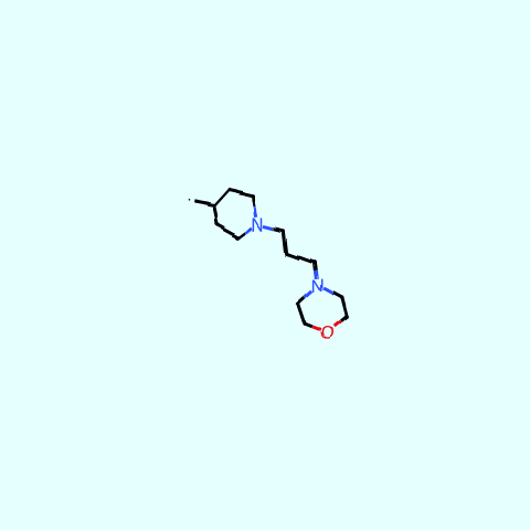 [CH2]C1CCN(CCCN2CCOCC2)CC1